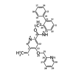 C=Cc1cnc(C(=O)Nc2cccc(-c3ccccc3)c2C)cc1OCc1ccccn1